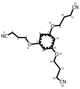 N#CCCCOc1cc(OCCCC#N)cc(OCCCC#N)c1